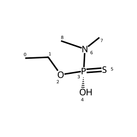 CCO[P@](O)(=S)N(C)C